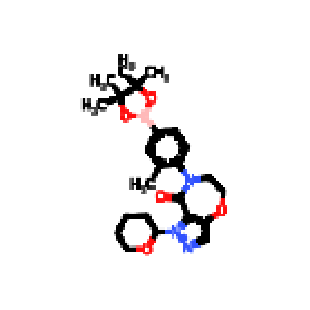 Cc1cc(B2OC(C)(C)C(C)(C)O2)ccc1N1CCOc2cnn(C3CCCCO3)c2C1=O